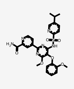 COc1ccccc1Oc1c(NS(=O)(=O)c2ccc(C(C)C)cn2)nc(-c2ccnc(C(N)=O)c2)nc1OC